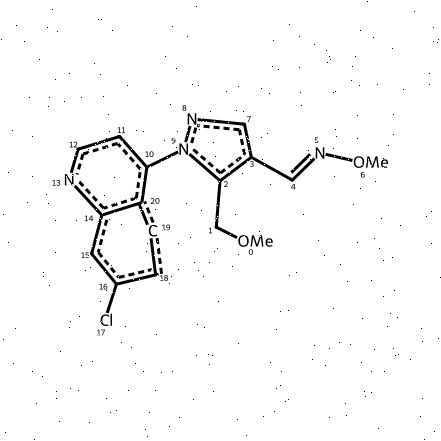 COCc1c(/C=N/OC)cnn1-c1ccnc2cc(Cl)ccc12